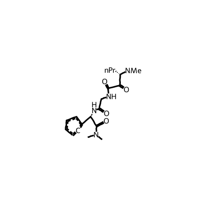 CCC[C@H](NC)C(=O)C(=O)NCC(=O)N[C@H](C(=O)N(C)C)c1ccccc1